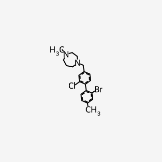 Cc1ccc(-c2ccc(CN3CCCN(C)CC3)cc2Cl)c(Br)c1